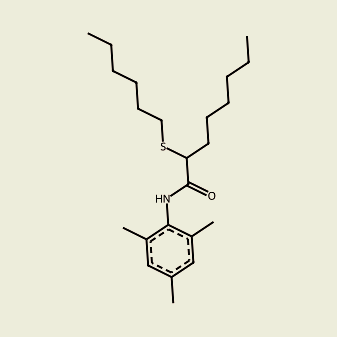 CCCCCCSC(CCCCCC)C(=O)Nc1c(C)cc(C)cc1C